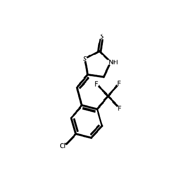 FC(F)(F)c1ccc(Cl)cc1C=C1CNC(=S)S1